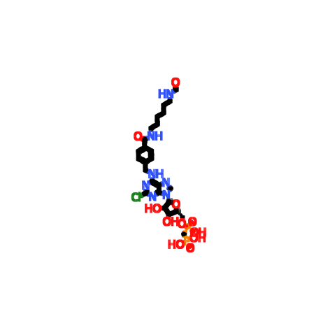 O=CNCCCCCCNC(=O)c1ccc(CNc2nc(Cl)nc3c2ncn3[C@@H]2O[C@H](COP(=O)(O)CP(=O)(O)O)C(O)C2O)cc1